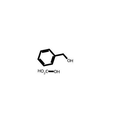 O=C(O)O.OCc1ccccc1